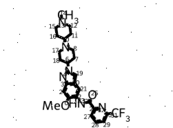 COc1cc2nn(C3CCN(C4CCN(C)CC4)CC3)cc2cc1NC(=O)c1cccc(C(F)(F)F)n1